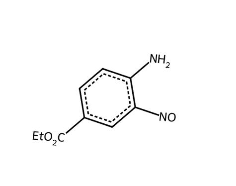 CCOC(=O)c1ccc(N)c(N=O)c1